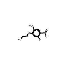 Nc1cc([N+](=O)[O-])c(F)cc1SCCO